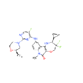 C[C@@H]1CN(c2ncc(F)c(Nc3ccc4c(c3)c3c(c(=O)n4C)OCC(F)(F)[C@H](C4CC4)N3)n2)CCO1